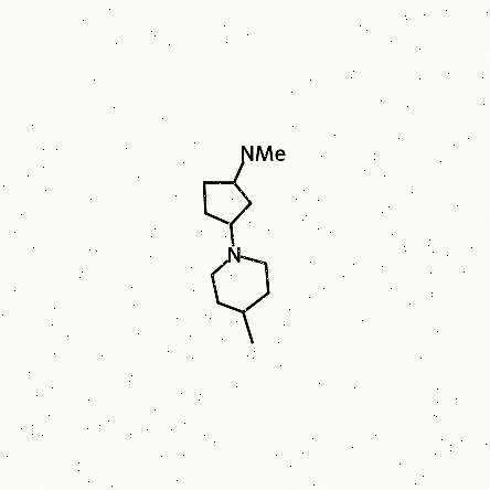 CNC1CCC(N2CCC(C)CC2)C1